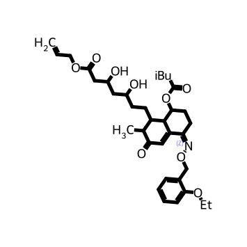 C=CCOC(=O)CC(O)CC(O)CCC1C(C)C(=O)C=C2/C(=N\OCc3ccccc3OCC)CCC(OC(=O)C(C)CC)C21